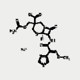 CON=C(C(=O)NC1C(=O)N2CC(COC(N)=O)(C(=O)[O-])CS[C@H]12)c1cscn1.[Na+]